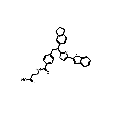 O=C(O)CCNC(=O)c1ccc(CN(c2ccc3c(c2)CCC3)c2nc(-c3cc4ccccc4o3)cs2)cc1